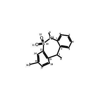 CC1c2ccccc2N(C)S(=O)(=O)c2cc(I)ccc21